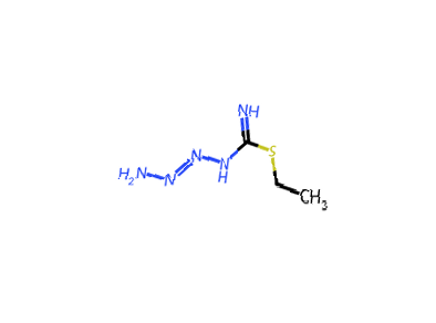 CCSC(=N)NN=NN